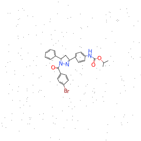 CC(C)OC(=O)Nc1ccc(C2=NN(C(=O)c3ccc(Br)cc3)C(c3ccccc3)C2)cc1